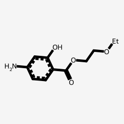 CCOCCOC(=O)c1ccc(N)cc1O